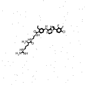 CCc1cc(Nc2nccn3c(-c4ccc(Cl)c(F)c4F)cnc23)ccc1C(=O)NCCNC(=O)C(N)CCCNC(=N)N